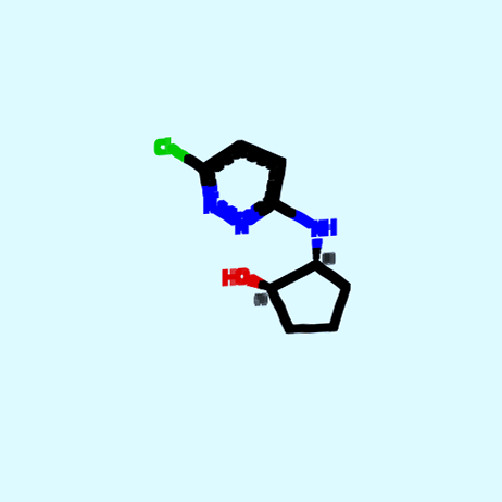 O[C@@H]1CCC[C@H]1Nc1ccc(Cl)nn1